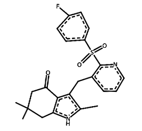 Cc1[nH]c2c(c1Cc1cccnc1S(=O)(=O)c1ccc(F)cc1)C(=O)CC(C)(C)C2